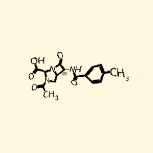 CC(=O)N1CC2[C@@H](NC(=O)c3ccc(C)cc3)C(=O)N2C1C(=O)O